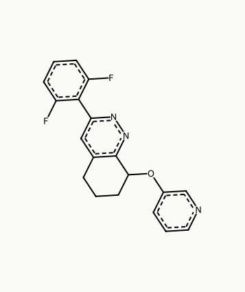 Fc1cccc(F)c1-c1cc2c(nn1)C(Oc1cccnc1)CCC2